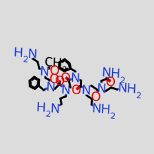 CC(=O)N(CCCN)CC(=O)N(CC(=O)N(CCCN)CC(=O)N(CC(=O)N(CCCN)CC(=O)N(CCCN)CC(N)=O)Cc1ccccc1)Cc1ccccc1